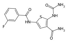 NC(=O)Nc1sc(NC(=O)c2cccc(F)c2)cc1C(N)=O